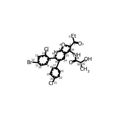 CCC(=O)c1oc2nc(-c3ccc(Br)cc3Cl)c(-c3ccc(Cl)cc3)cc2c1NC(=O)[C@H](C)O